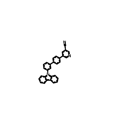 N#Cc1cncc(-c2ccc(-c3cccc(-n4c5ccccc5c5ccccc54)c3)cc2)c1